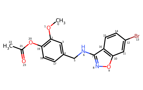 COc1cc(CNc2noc3cc(Br)ccc23)ccc1OC(C)=O